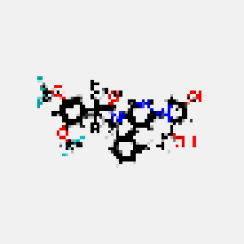 Cc1ccccc1-c1cc(N2C[C@H](O)C[C@H]2CO)ncc1N(C)C(=O)C(C)(C)c1cc(OC(F)F)cc(OC(F)F)c1